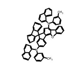 Cc1cccc(N(c2ccc3c(c2)C2(c4ccccc4-c4ccccc42)c2cc(N(c4cccc(C)c4)c4cccc5ccccc45)c4c(oc5ccccc54)c2-3)c2cccc3ccccc23)c1